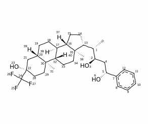 C[C@H]([C@H](O)C[C@@H](O)c1ccccc1)[C@H]1CC[C@H]2[C@@H]3CC[C@H]4C[C@](O)(C(F)(F)F)CC[C@]4(C)[C@H]3CC[C@]12C